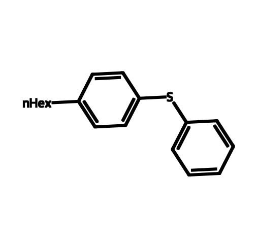 CCCCCCc1ccc(Sc2ccccc2)cc1